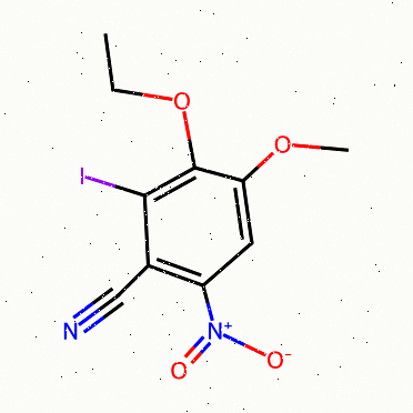 CCOc1c(OC)cc([N+](=O)[O-])c(C#N)c1I